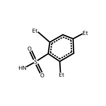 CCc1cc(CC)c(S([NH])(=O)=O)c(CC)c1